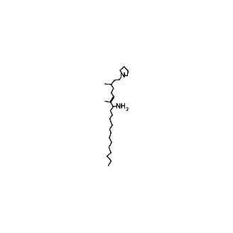 CCCCCCCCCCCCCC(N)/C(C)=C/CCC(C)CCN1CCCC1